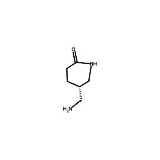 NC[C@@H]1CCC(=O)NC1